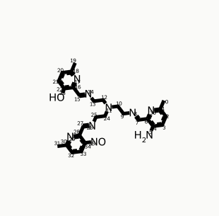 Cc1ccc(N)c(/C=N/CCN(CC/N=C/c2nc(C)ccc2O)CC/N=C/c2nc(C)ccc2N=O)n1